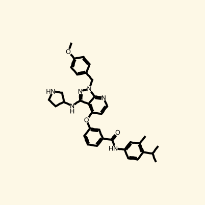 COc1ccc(Cn2nc(NC3CCNC3)c3c(Oc4cccc(C(=O)Nc5ccc(C(C)C)c(C)c5)c4)ccnc32)cc1